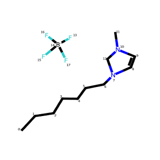 CCCCCCCN1C=CN(C)C1.F[B-](F)(F)F